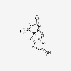 Oc1ccc(Oc2ncc(C(F)(F)F)cc2C(F)(F)F)c(Cl)c1